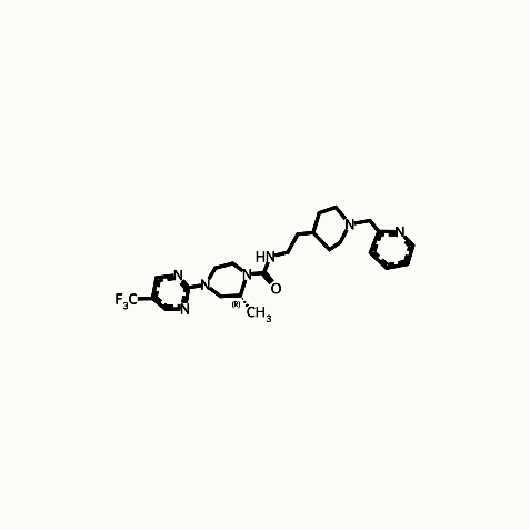 C[C@@H]1CN(c2ncc(C(F)(F)F)cn2)CCN1C(=O)NCCC1CCN(Cc2ccccn2)CC1